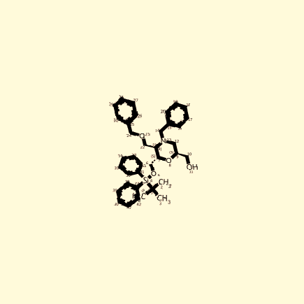 CC(C)(C)[Si](OC[C@H]1O[C@H](CO)CN(Cc2ccccc2)[C@@H]1COCc1ccccc1)(c1ccccc1)c1ccccc1